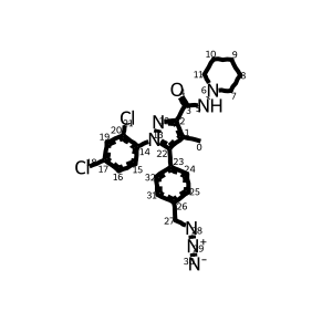 Cc1c(C(=O)NN2CCCCC2)nn(-c2ccc(Cl)cc2Cl)c1-c1ccc(CN=[N+]=[N-])cc1